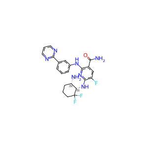 NC(=O)c1cc(F)c(N[C@H]2[C@@H](N)CCCC2(F)F)nc1Nc1cccc(-c2ncccn2)c1